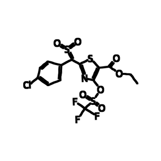 CCOC(=O)c1sc(C(c2ccc(Cl)cc2)=S(=O)=O)nc1OS(=O)(=O)C(F)(F)F